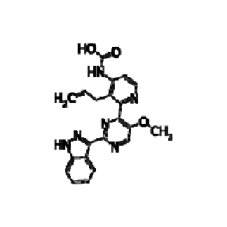 C=CCc1c(NC(=O)O)ccnc1-c1nc(-c2n[nH]c3ccccc23)ncc1OC